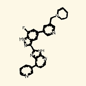 Fc1cc(-c2cncc(CN3CCCCC3)c2)cc2c(-c3nc4c(-c5cccnc5)ccnc4[nH]3)n[nH]c12